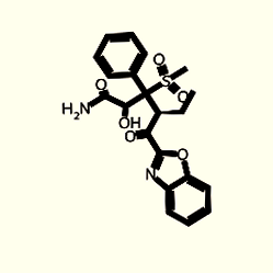 CC[C@@H](C(=O)c1nc2ccccc2o1)C(c1ccccc1)(C(O)C(N)=O)S(C)(=O)=O